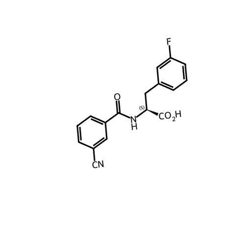 N#Cc1cccc(C(=O)N[C@@H](Cc2cccc(F)c2)C(=O)O)c1